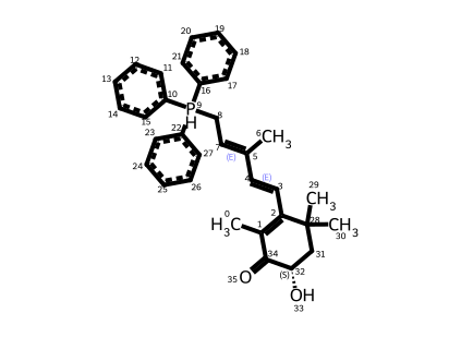 CC1=C(/C=C/C(C)=C/C[PH](c2ccccc2)(c2ccccc2)c2ccccc2)C(C)(C)C[C@H](O)C1=O